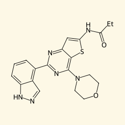 CCC(=O)Nc1cc2nc(-c3cccc4[nH]ncc34)nc(N3CCOCC3)c2s1